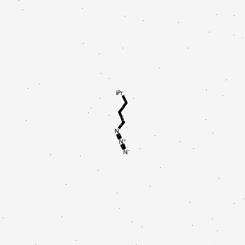 CC(C)CCCN=[N+]=[N-]